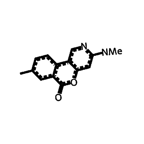 CNc1cc2oc(=O)c3cc(C)ccc3c2cn1